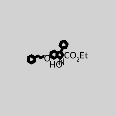 CCOC(=O)C1=C(c2ccccc2)c2ccc(OCCCc3ccccc3)cc2C1=NO